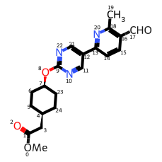 COC(=O)C[C@H]1CC[C@@H](Oc2ncc(-c3ccc(C=O)c(C)n3)cn2)CC1